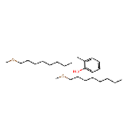 CCCCCCCCSC.CCCCCCCCSC.Cc1ccccc1O